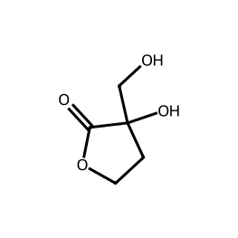 O=C1OCCC1(O)CO